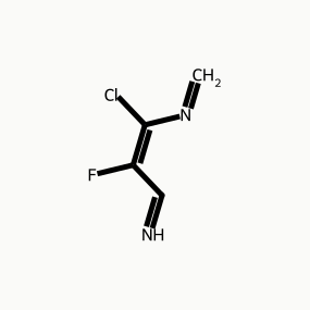 C=N/C(Cl)=C(/F)C=N